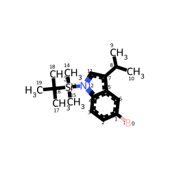 [B]c1ccc2c(c1)c(C(C)C)cn2[Si](C)(C)C(C)(C)C